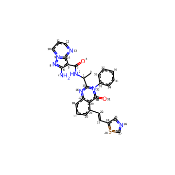 CC(NC(=O)c1c(N)nn2cccnc12)c1nc2cccc(/C=C/c3cncs3)c2c(=O)n1-c1ccccc1